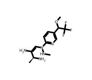 CNN(/C=C(/N)[C@H](C)N)c1ccc(C(OC)C(F)(F)F)cn1